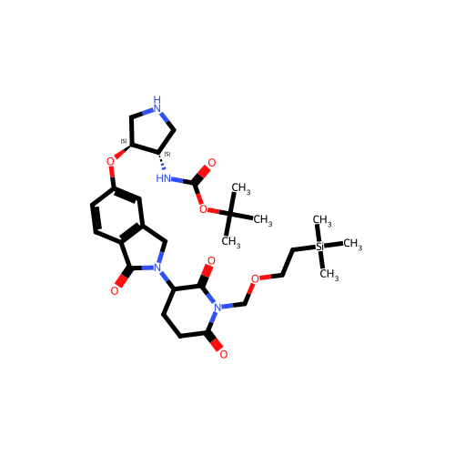 CC(C)(C)OC(=O)N[C@H]1CNC[C@@H]1Oc1ccc2c(c1)CN(C1CCC(=O)N(COCC[Si](C)(C)C)C1=O)C2=O